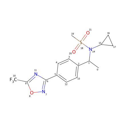 CC(c1ccc(-c2noc(C(F)(F)F)n2)cc1)N(C1CC1)S(C)(=O)=O